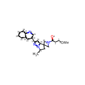 COCCC(=O)N1CC2(CC(C)n3nc(-c4cnc5ccccc5c4)cc32)C1